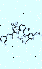 Cc1nn(C)cc1[C@@H](C)c1c(F)ccc2c1NC(NCc1cccc(F)c1)=NS2(=O)=O